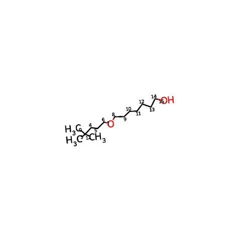 CC(C)(C)CCCOCCCCCCCO